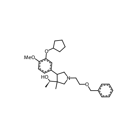 COc1ccc(C2CN(CCOCc3ccccc3)CC2(C)[C@@H](C)O)cc1OC1CCCC1